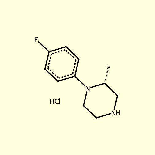 C[C@@H]1CNCCN1c1ccc(F)cc1.Cl